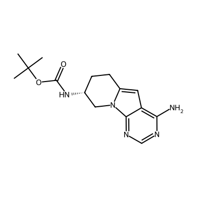 CC(C)(C)OC(=O)N[C@@H]1CCc2cc3c(N)ncnc3n2C1